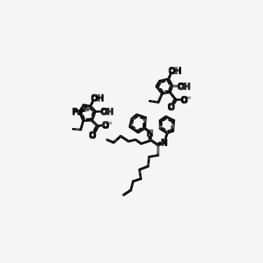 CCCCCCCCC(=Nc1ccccc1)C(CCCCCC)=Nc1ccccc1.CCc1ccc(O)c(O)c1C(=O)[O-].CCc1ccc(O)c(O)c1C(=O)[O-].[Pd+2]